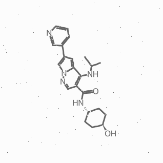 CC(C)Nc1c(C(=O)N[C@H]2CC[C@H](O)CC2)cnn2cc(-c3cccnc3)cc12